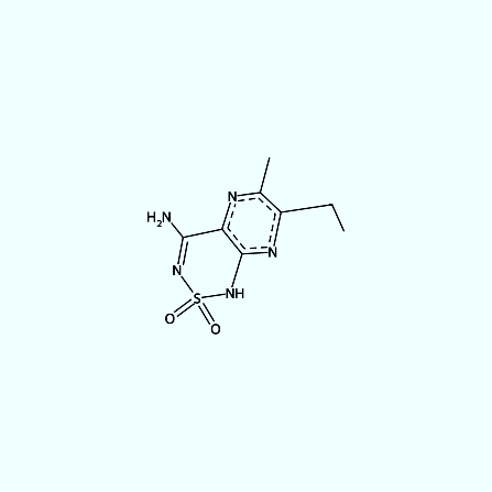 CCc1nc2c(nc1C)C(N)=NS(=O)(=O)N2